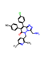 Cc1nc(C(F)(F)F)ccc1Cn1c(=O)c(-c2ccc(C#N)cc2)c(-c2ccc(Cl)cc2)c2nnc(CN)n21